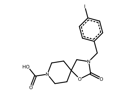 O=C(O)N1CCC2(CC1)CN(Cc1ccc(I)cc1)C(=O)O2